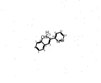 CC(=Cc1ccccc1O)c1cccnn1